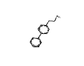 CC(=O)CCc1ccc(-c2ccccc2)cc1